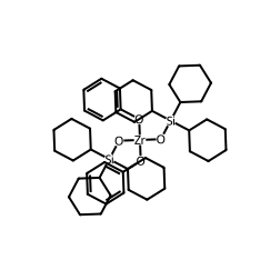 c1ccc([O][Zr]([O]c2ccccc2)([O][Si](C2CCCCC2)(C2CCCCC2)C2CCCCC2)[O][Si](C2CCCCC2)(C2CCCCC2)C2CCCCC2)cc1